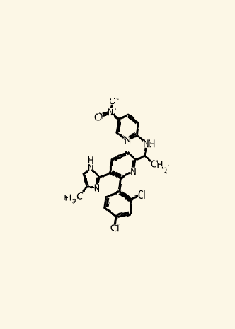 [CH2]C(Nc1ccc([N+](=O)[O-])cn1)c1ccc(-c2nc(C)c[nH]2)c(-c2ccc(Cl)cc2Cl)n1